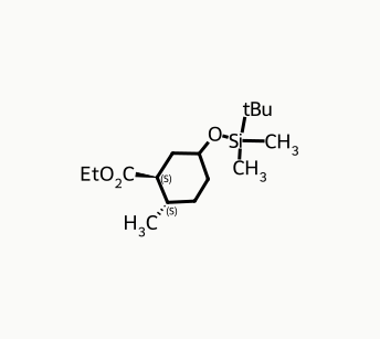 CCOC(=O)[C@H]1CC(O[Si](C)(C)C(C)(C)C)CC[C@@H]1C